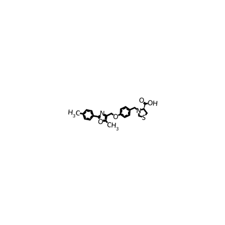 Cc1ccc(-c2nc(COc3ccc(CN4CSC[C@@H]4C(=O)O)cc3)c(C)o2)cc1